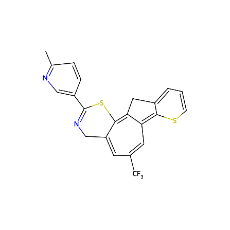 Cc1ccc(C2=NCC3=CC(C(F)(F)F)=CC4=C5SC=CC=C5CC4=C3S2)cn1